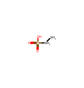 O=S(=O)(O)[SiH2][SiH3]